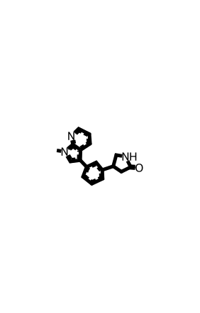 Cn1cc(-c2cccc(C3CNC(=O)C3)c2)c2cccnc21